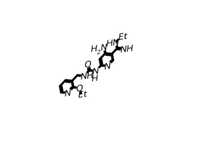 CCNC(=N)c1cnc(NC(=O)NCc2cccnc2OCC)cc1N